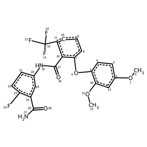 COc1ccc(Oc2cccc(C(F)(F)F)c2C(=O)Nc2ccc(F)c(C(N)=O)c2)c(OC)c1